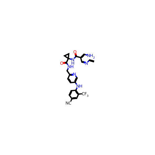 C=C/N=C\C(=C/N)C(=O)NC1(C(=O)NCc2ccc(Nc3ccc(C#N)cc3C(F)(F)F)cn2)CC1